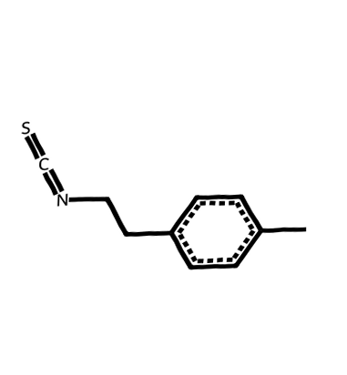 Cc1ccc(CCN=C=S)cc1